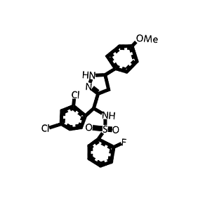 COc1ccc(C2CC(C(NS(=O)(=O)c3ccccc3F)c3ccc(Cl)cc3Cl)=NN2)cc1